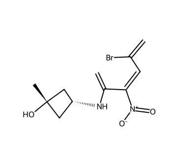 C=C(Br)/C=C(\C(=C)N[C@H]1C[C@@](C)(O)C1)[N+](=O)[O-]